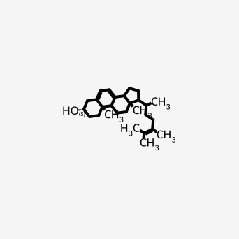 CC(C)=C(C)CCC(C)C1CCC2C3=CC=C4C[C@@H](O)CCC4(C)C3CCC21C